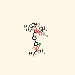 C=C(C)C(=O)OCC(COC(=C)C(C)(C)C)Cc1ccc(-c2ccc(OC(=O)C(=C)C)c(F)c2)cc1